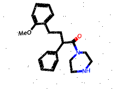 COc1ccccc1CCC(C(=O)N1CCNCC1)c1ccccc1